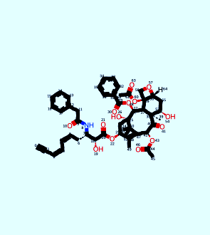 C#C/C=C\C=C/C[C@H](NC(=O)Cc1ccccc1)[C@@H](O)C(=O)O[C@H]1C[C@@]2(O)[C@@H](OC(=O)c3ccccc3)C3[C@](C)(C(=O)[C@H](OC(C)=O)C(=C1C)C2(C)C)[C@@H](O)C[C@H]1OC[C@@]31OC(C)=O